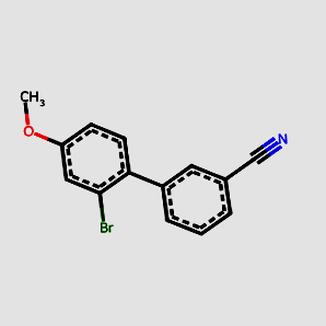 COc1ccc(-c2cccc(C#N)c2)c(Br)c1